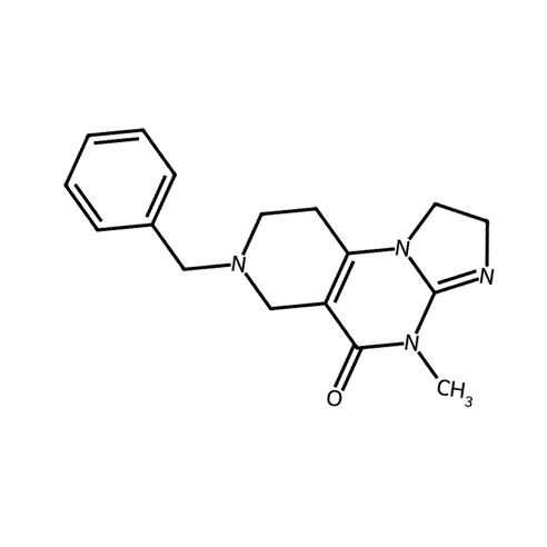 CN1C(=O)C2=C(CCN(Cc3ccccc3)C2)N2CCN=C12